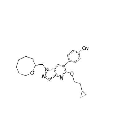 N#Cc1ccc(-c2cc3c(cnn3C[C@@H]3CCCCCCO3)nc2OCCC2CC2)cc1